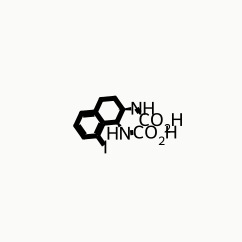 O=C(O)N[C@@H]1CCc2cccc(I)c2[C@@H]1NC(=O)O